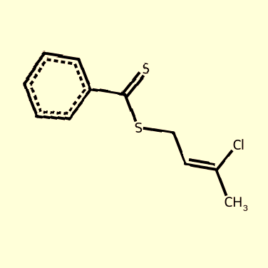 C/C(Cl)=C/CSC(=S)c1ccccc1